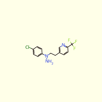 NN(CCc1ccc(C(F)(F)F)nc1)c1ccc(Cl)cc1